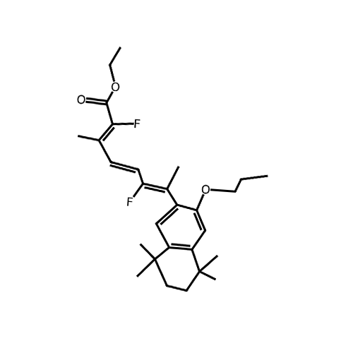 CCCOc1cc2c(cc1C(C)=C(F)C=CC(C)=C(F)C(=O)OCC)C(C)(C)CCC2(C)C